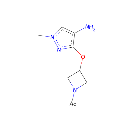 CC(=O)N1CC(Oc2nn(C)cc2N)C1